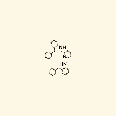 c1ccc(Cc2ccccc2NCc2cccc(CNc3ccccc3Cc3ccccc3)n2)cc1